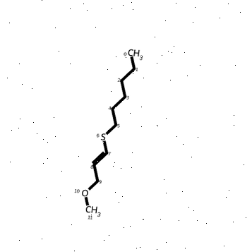 CCCCCCSC=CCOC